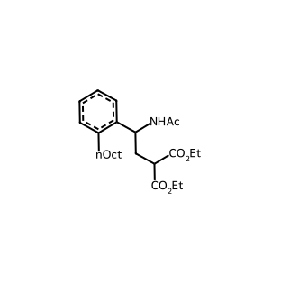 CCCCCCCCc1ccccc1C(CC(C(=O)OCC)C(=O)OCC)NC(C)=O